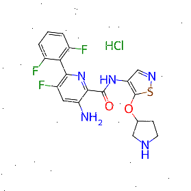 Cl.Nc1cc(F)c(-c2c(F)cccc2F)nc1C(=O)Nc1cnsc1OC1CCNC1